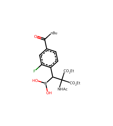 CCCCC(=O)c1ccc(C(B(O)O)C(NC(C)=O)(C(=O)OCC)C(=O)OCC)c(F)c1